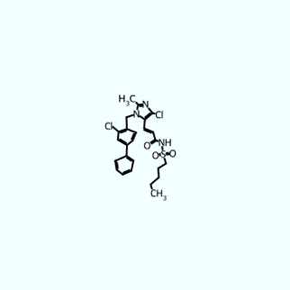 CCCCCS(=O)(=O)NC(=O)C=Cc1c(Cl)nc(C)n1Cc1ccc(-c2ccccc2)cc1Cl